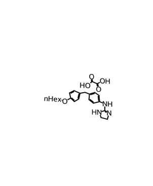 CCCCCCOc1ccc(Cc2ccc(NC3=NCCN3)cc2)cc1.O=C(O)C(=O)O